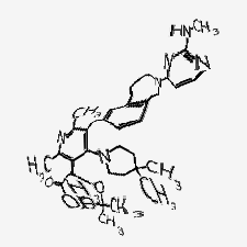 CNc1nccc(N2CCc3cc(-c4c(C)nc(C)c(C(OC(C)(C)C)C(=O)O)c4N4CCC(C)(C)CC4)ccc3C2)n1